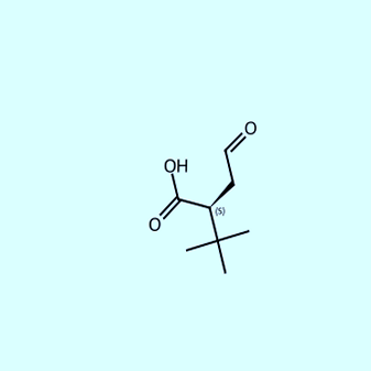 CC(C)(C)[C@H](CC=O)C(=O)O